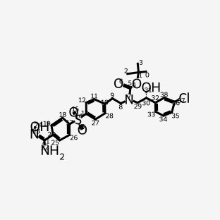 CC(C)(C)OC(=O)N(CCc1ccc(S(=O)(=O)c2ccc(/C(N)=N\O)cc2)cc1)C[C@H](O)c1cccc(Cl)c1